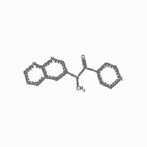 CN(C(=O)c1ccncc1)c1cnc2ncccc2c1